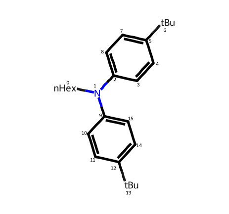 CCCCCCN(c1ccc(C(C)(C)C)cc1)c1ccc(C(C)(C)C)cc1